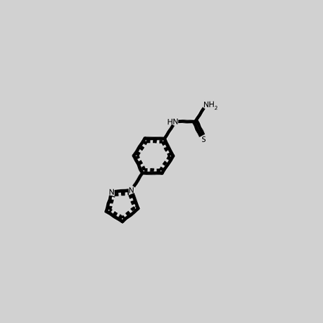 NC(=S)Nc1ccc(-n2cccn2)cc1